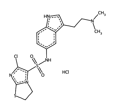 CN(C)CCc1c[nH]c2ccc(NS(=O)(=O)c3c(Cl)nc4n3CCS4)cc12.Cl